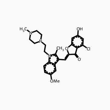 COc1ccc2c(c1)c(/C=C1\Oc3cc(O)cc(Cl)c3C1=O)c(C)n2CCN1CCN(C)CC1